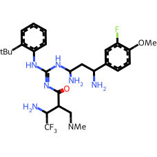 CNCC(C(=O)/N=C(/Nc1ccccc1C(C)(C)C)NC(N)CC(N)c1ccc(OC)c(F)c1)C(N)C(F)(F)F